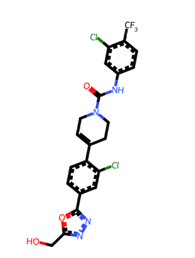 O=C(Nc1ccc(C(F)(F)F)c(Cl)c1)N1CC=C(c2ccc(-c3nnc(CO)o3)cc2Cl)CC1